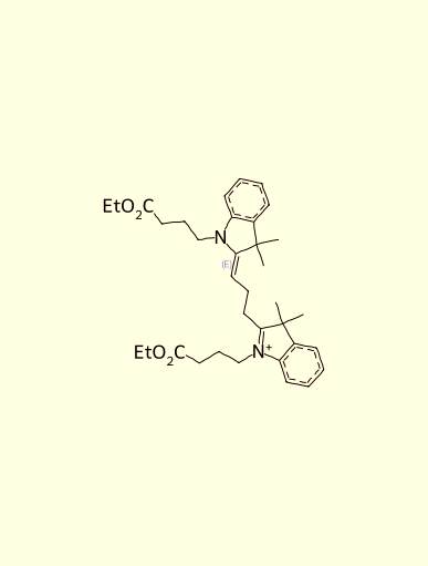 CCOC(=O)CCCN1/C(=C/CCC2=[N+](CCCC(=O)OCC)c3ccccc3C2(C)C)C(C)(C)c2ccccc21